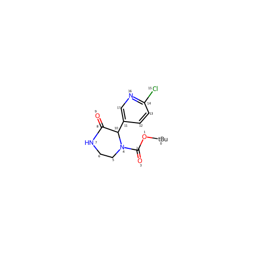 CC(C)(C)OC(=O)N1CCNC(=O)C1c1ccc(Cl)nc1